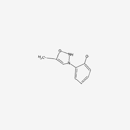 CC1=CN(c2ccccc2[O])NO1